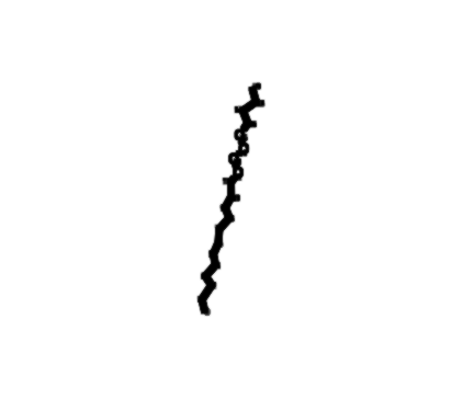 CCCCCCCCCCCCOOOOCCCC